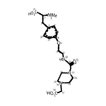 CN[C@@H](Cc1ccc(OCCNC(=O)N2CCN(CC(=O)O)CC2)cc1)C(=O)O